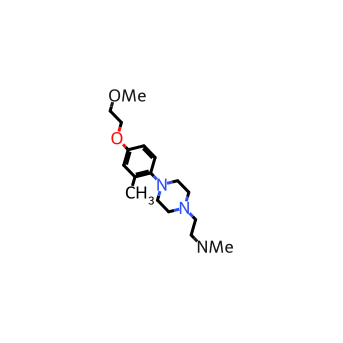 CNCCN1CCN(c2ccc(OCCOC)cc2C)CC1